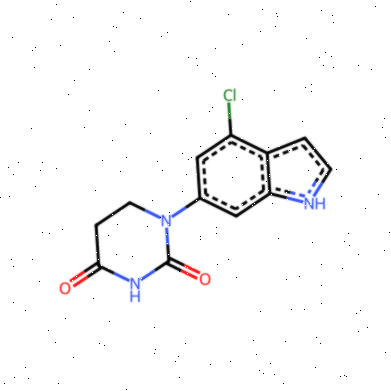 O=C1CCN(c2cc(Cl)c3cc[nH]c3c2)C(=O)N1